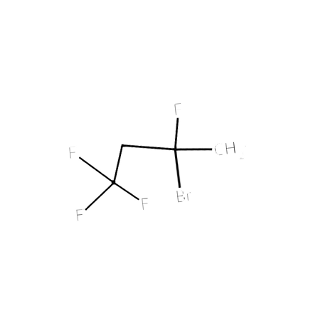 [CH2]C(F)(Br)CC(F)(F)F